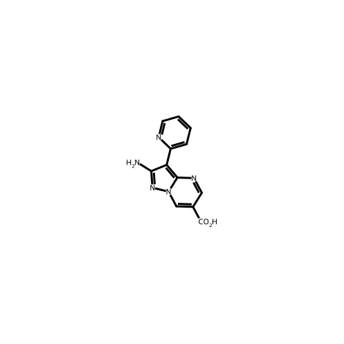 Nc1nn2cc(C(=O)O)cnc2c1-c1ccccn1